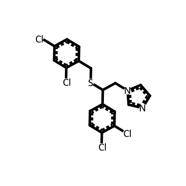 Clc1ccc(CSC(Cn2ccnc2)c2ccc(Cl)c(Cl)c2)c(Cl)c1